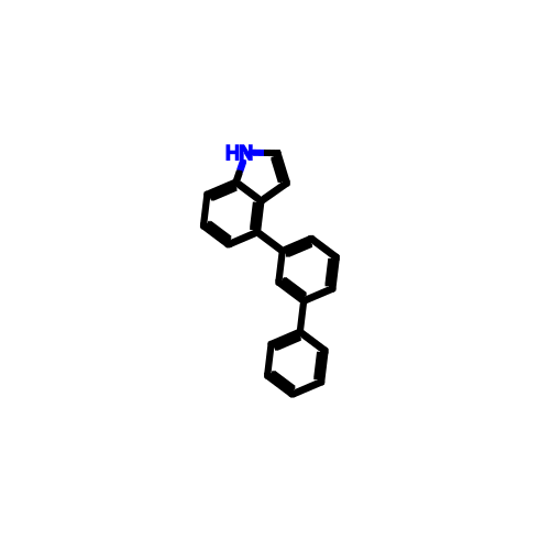 c1ccc(-c2cccc(-c3cccc4[nH]ccc34)c2)cc1